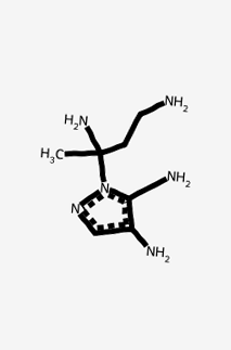 CC(N)(CCN)n1ncc(N)c1N